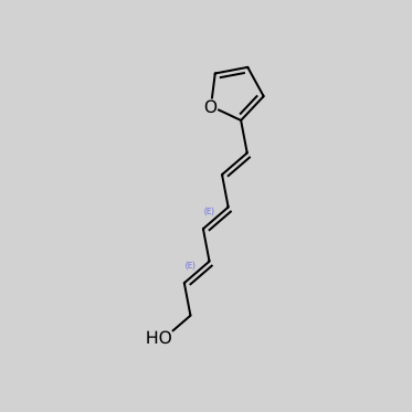 OC/C=C/C=C/C=Cc1ccco1